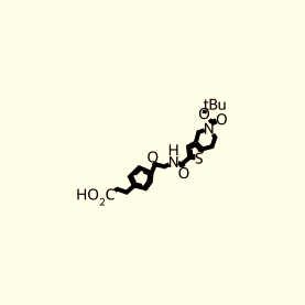 CC(C)(C)OC(=O)N1CCc2sc(C(=O)NCC(=O)c3ccc(CCC(=O)O)cc3)cc2C1